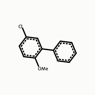 COc1ccc(Cl)cc1-c1[c]cccc1